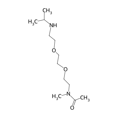 CC(=O)N(C)CCOCCOCCNC(C)C